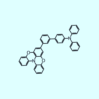 c1ccc(N(c2ccccc2)c2ccc(-c3cccc(-c4cc5c6c(c4)Oc4ccccc4N6c4ccccc4O5)c3)cc2)cc1